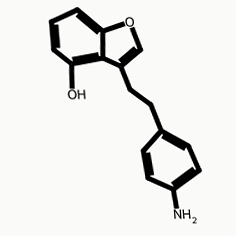 Nc1ccc(CCc2coc3cccc(O)c23)cc1